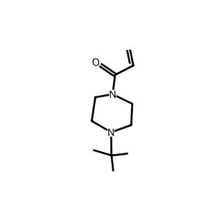 C=CC(=O)N1CCN(C(C)(C)C)CC1